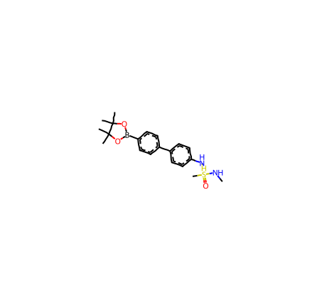 CN[SH](C)(=O)Nc1ccc(-c2ccc(B3OC(C)(C)C(C)(C)O3)cc2)cc1